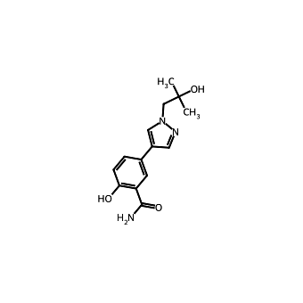 CC(C)(O)Cn1cc(-c2ccc(O)c(C(N)=O)c2)cn1